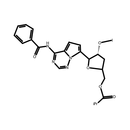 CC(C)C(=O)OCC1C[C@@H](OI)C(c2ccc3c(NC(=O)c4ccccc4)ncnn23)O1